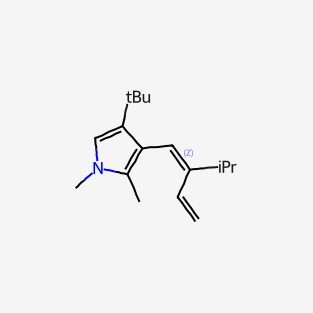 C=C/C(=C\c1c(C(C)(C)C)cn(C)c1C)C(C)C